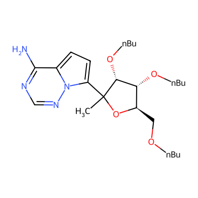 CCCCOC[C@H]1OC(C)(c2ccc3c(N)ncnn23)[C@H](OCCCC)[C@@H]1OCCCC